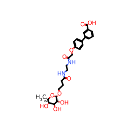 C[C@@H]1OC(OCCCC(=O)NCCNC(=O)COc2ccc(-c3cccc(C(=O)O)c3)cc2)[C@@H](O)C(O)C1O